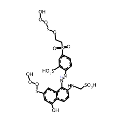 O=S(=O)(O)CNc1ccc2c(O)cc(SOOO)cc2c1/N=N/c1ccc(S(=O)(=O)CCOSOOO)cc1S(=O)(=O)O